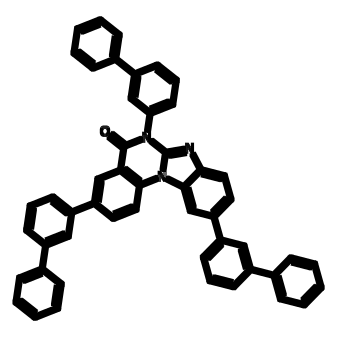 O=c1c2cc(-c3cccc(-c4ccccc4)c3)ccc2n2c3cc(-c4cccc(-c5ccccc5)c4)ccc3nc2n1-c1cccc(-c2ccccc2)c1